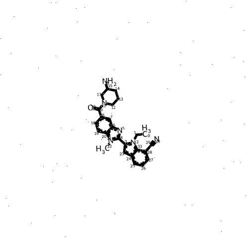 CCn1c(-c2nc3cc(C(=O)N4CCCC(N)C4)ccc3n2C)cc2cccc(C#N)c21